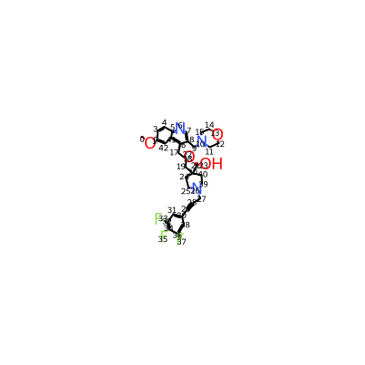 COc1ccc2ncc(CN3CCOCC3)c(CCCC3(C(=O)O)CCN(CC#Cc4cc(F)c(F)c(F)c4)CC3)c2c1